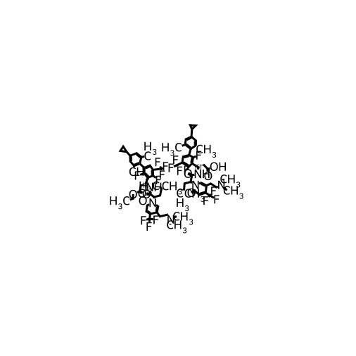 CCOC(=O)C[C@H](NC(=O)C(CC(C)C)n1cc(CCN(C)C)c(C(F)(F)F)cc1=O)c1c(F)c(-c2c(C)cc(C3CC3)cc2C)cc(C(F)(F)F)c1F.Cc1cc(C2CC2)cc(C)c1-c1cc(C(F)(F)F)c(F)c([C@H](CC(=O)O)NC(=O)C(CC(C)C)n2cc(CCN(C)C)c(C(F)(F)F)cc2=O)c1F